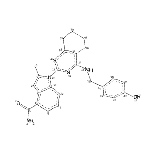 Cc1cc2c(C(N)=O)cccc2n1-c1nc2c(c(NCc3ccc(O)cc3)n1)CCCC2